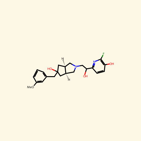 COc1cccc(CC2(O)C[C@H]3CN(CC(O)c4ccc(O)c(F)n4)C[C@H]3C2)c1